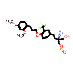 COc1ccc(CCCOc2ccc(CCC(N)(CO)COP=O)cc2C(F)(F)F)c(OC)c1